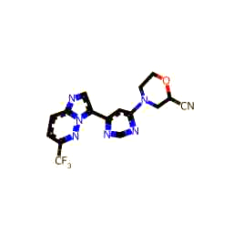 N#CC1CN(c2cc(-c3cnc4ccc(C(F)(F)F)nn34)ncn2)CCO1